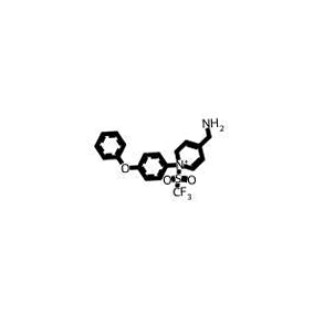 NCC1=CC[N+](c2ccc(Oc3ccccc3)cc2)(S(=O)(=O)C(F)(F)F)C=C1